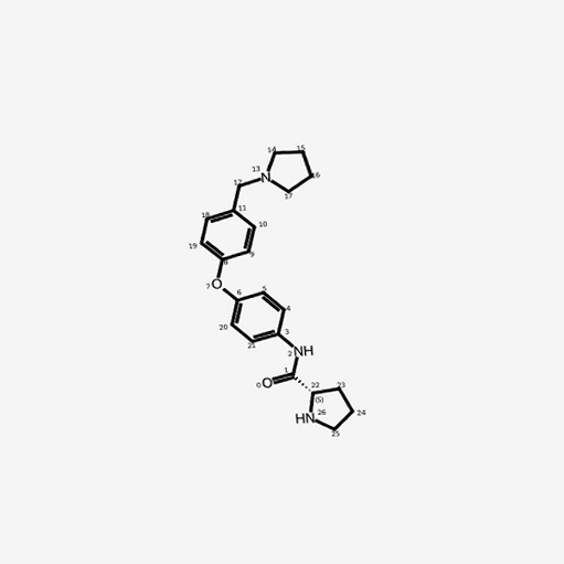 O=C(Nc1ccc(Oc2ccc(CN3CCCC3)cc2)cc1)[C@@H]1CCCN1